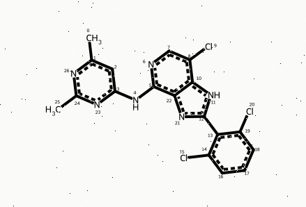 Cc1cc(Nc2ncc(Cl)c3[nH]c(-c4c(Cl)cccc4Cl)nc23)nc(C)n1